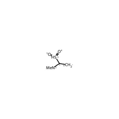 [CH2]C(NC)[SH](=O)=O